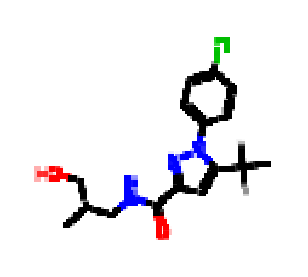 CC(CO)CNC(=O)c1cc(C(C)(C)C)n(-c2ccc(Cl)cc2)n1